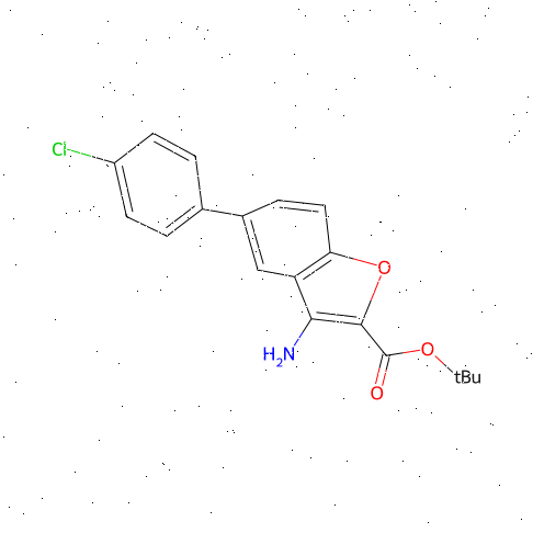 CC(C)(C)OC(=O)c1oc2ccc(-c3ccc(Cl)cc3)cc2c1N